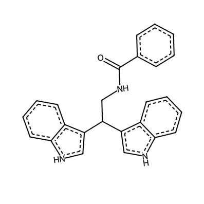 O=C(NCC(c1c[nH]c2ccccc12)c1c[nH]c2ccccc12)c1ccccc1